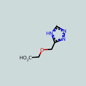 O=C(O)COCc1nn[c][nH]1